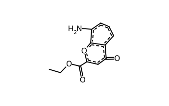 CCOC(=O)c1cc(=O)c2cccc(N)c2o1